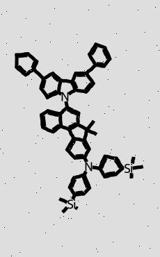 CC1(C)c2cc(N(c3ccc([Si](C)(C)C)cc3)c3ccc([Si](C)(C)C)cc3)ccc2-c2c1cc(-n1c3ccc(-c4ccccc4)cc3c3cc(-c4ccccc4)ccc31)c1ccccc21